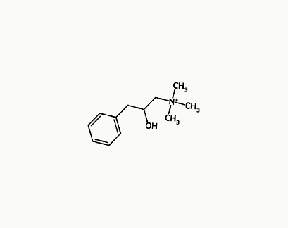 C[N+](C)(C)CC(O)Cc1ccccc1